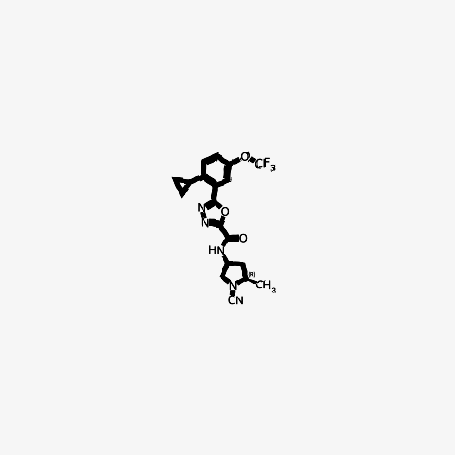 C[C@@H]1CC(NC(=O)c2nnc(-c3cc(OC(F)(F)F)ccc3C3CC3)o2)CN1C#N